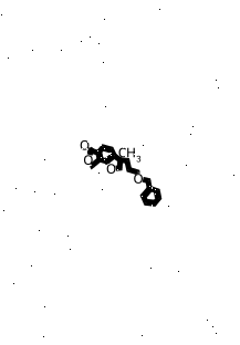 CC1(CCCOCc2ccccc2)COc2c1ccc1c2COC1=O